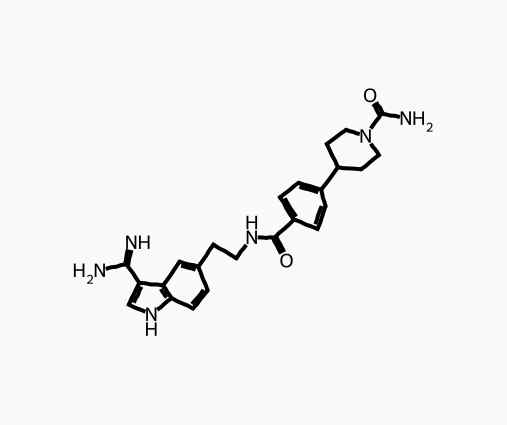 N=C(N)c1c[nH]c2ccc(CCNC(=O)c3ccc(C4CCN(C(N)=O)CC4)cc3)cc12